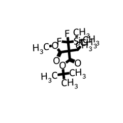 CCC(C(=O)OC)(C(=O)OC(C)(C)C)C(F)(F)[Si](C)(C)C